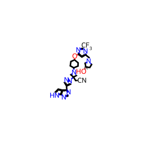 N#CCC1(n2cc(-c3ncnc4[nH]ccc34)cn2)CN(C2CCC(Oc3cc(CN4CC[C@H](O)C4)nc(C(F)(F)F)n3)CC2)C1